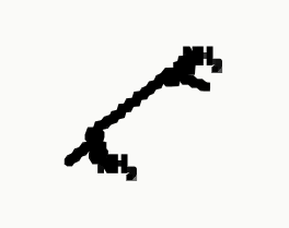 CCCCCCC(c1ccc(CCCCCCCCCCCCCCCCCc2ccc(C(CCCCCC)c3ccc(N)cc3C)cc2)cc1)c1ccc(N)cc1C